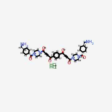 Cl.Cl.NC[C@H]1CC[C@H](C(=O)N2CCN(C(=O)C#CC(=O)c3ccc(C(=O)C#CC(=O)N4CCN(C(=O)[C@H]5CC[C@H](CN)CC5)CC4)cc3)CC2)CC1